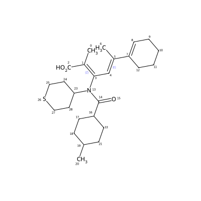 C/C(C(=O)O)=C(\C=C(/C)C1=CCCCC1)N(C(=O)C1CCC(C)CC1)C1CCSCC1